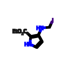 CCOC(=O)c1[nH]ccc1NCI